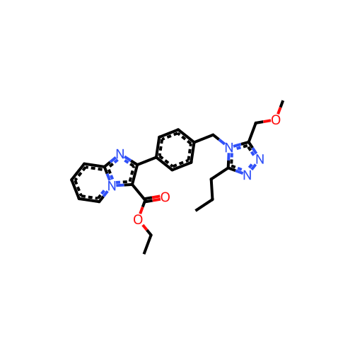 CCCc1nnc(COC)n1Cc1ccc(-c2nc3ccccn3c2C(=O)OCC)cc1